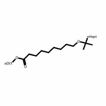 CCCCCCCCOC(=O)CCCCCCCCOC(C)(C)CCCCCCC